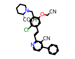 N#CCOc1cc(/C=C/c2nccc(-c3ccccc3)c2C#N)c(Cl)cc1CN1CCCC[C@H]1C(=O)O